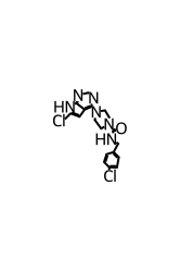 O=C(NCc1ccc(Cl)cc1)N1CCN(c2ncnc3[nH]c(Cl)cc23)CC1